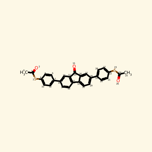 CC(=O)Sc1ccc(-c2ccc3c(c2)C(=O)c2cc(-c4ccc(SC(C)=O)cc4)ccc2-3)cc1